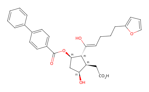 O=C(O)C[C@@H]1[C@@H](C(O)=CCCCc2ccco2)[C@H](OC(=O)c2ccc(-c3ccccc3)cc2)C[C@@H]1O